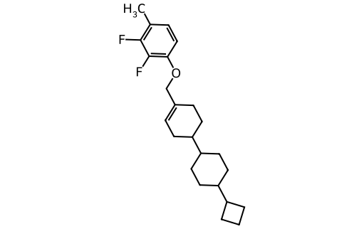 Cc1ccc(OCC2=CCC(C3CCC(C4CCC4)CC3)CC2)c(F)c1F